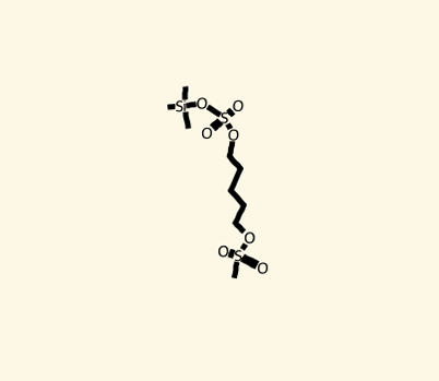 C[Si](C)(C)OS(=O)(=O)OCCCCCOS(C)(=O)=O